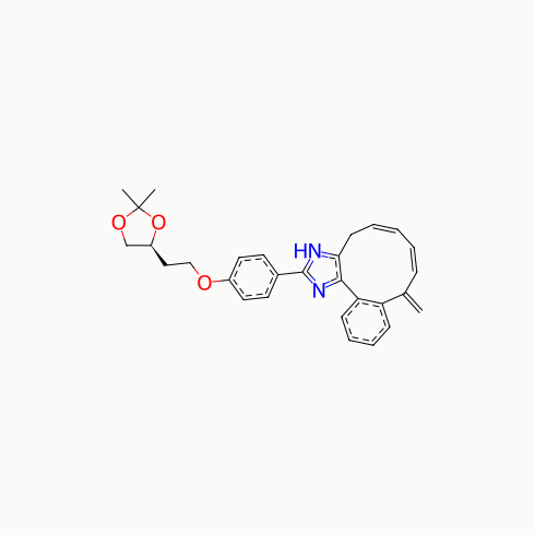 C=C1/C=C\C=C/Cc2[nH]c(-c3ccc(OCC[C@H]4COC(C)(C)O4)cc3)nc2-c2ccccc21